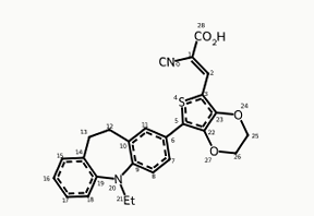 [C-]#[N+]/C(=C\c1sc(-c2ccc3c(c2)CCc2ccccc2N3CC)c2c1OCCO2)C(=O)O